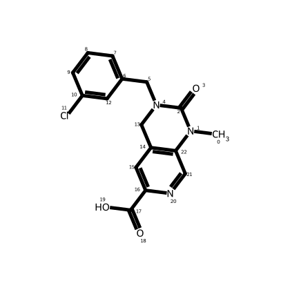 CN1C(=O)N(Cc2cccc(Cl)c2)Cc2cc(C(=O)O)ncc21